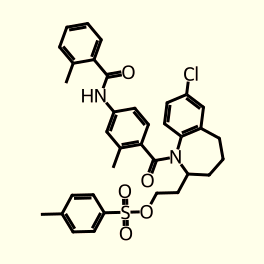 Cc1ccc(S(=O)(=O)OCCC2CCCc3cc(Cl)ccc3N2C(=O)c2ccc(NC(=O)c3ccccc3C)cc2C)cc1